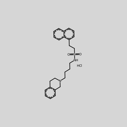 Cl.O=S(=O)(CCc1cccc2ccccc12)NCCCCN1CCc2ccccc2C1